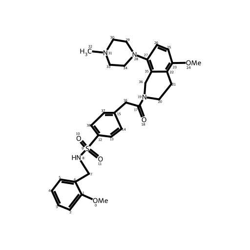 COc1ccccc1CNS(=O)(=O)c1ccc(CC(=O)N2CCc3c(OC)ccc(N4CCN(C)CC4)c3C2)cc1